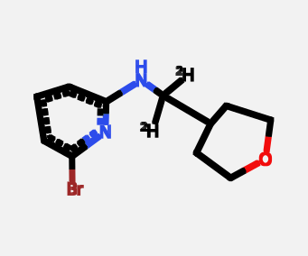 [2H]C([2H])(Nc1cccc(Br)n1)C1CCOCC1